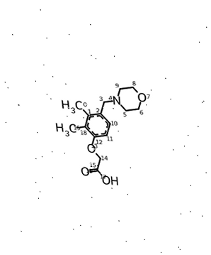 Cc1c(CN2CCOCC2)ccc(OCC(=O)O)c1C